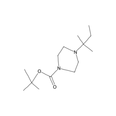 CCC(C)(C)N1CCN(C(=O)OC(C)(C)C)CC1